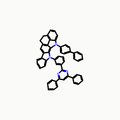 c1ccc(-c2ccc(-n3c4cccc5c4c4c(cc6c7ccccc7n(-c7cccc(-c8nc(-c9ccccc9)cc(-c9ccccc9)n8)c7)c6c43)CC5)cc2)cc1